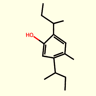 CCC(C)c1cc(O)c(C(C)CC)cc1C